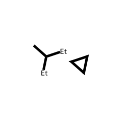 CCC(C)CC.[CH]1CC1